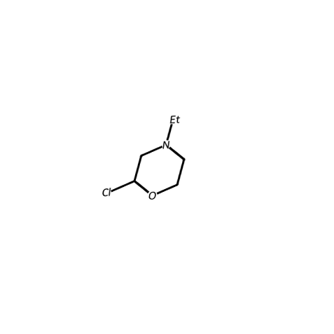 [CH2]CN1CCOC(Cl)C1